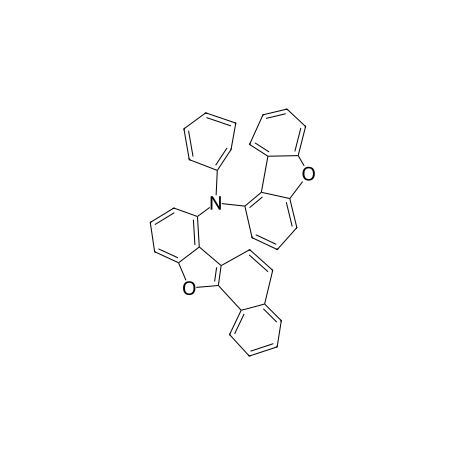 c1ccc(N(c2cccc3oc4ccccc4c23)c2cccc3oc4c5ccccc5ccc4c23)cc1